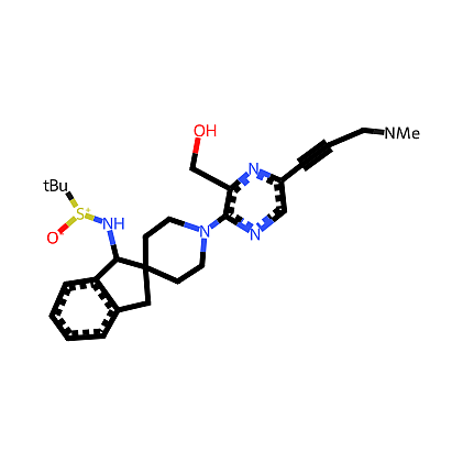 CNCC#Cc1cnc(N2CCC3(CC2)Cc2ccccc2C3N[S+]([O-])C(C)(C)C)c(CO)n1